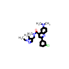 CCn1ncc(CN(C)C(=O)c2cc(-c3cccc(Cl)c3)nc3ccc(N(C)C)cc23)c1C